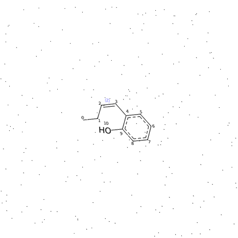 CC/[C]=C\c1ccccc1O